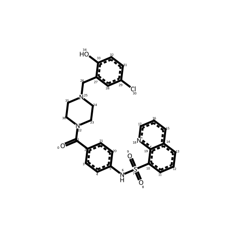 O=C(c1ccc(NS(=O)(=O)c2cccc3cccnc23)cc1)N1CCN(Cc2cc(Cl)ccc2O)CC1